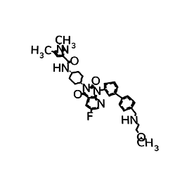 COCCNCc1ccc(-c2cccc(-n3c(=O)n([C@H]4CC[C@@H](NC(=O)c5cc(C)n(C)n5)CC4)c(=O)c4cc(F)cnc43)c2)cc1